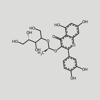 C[C@H](Oc1c(-c2ccc(O)c(O)c2)oc2cc(O)cc(O)c2c1=O)OC(CO)C(O)[C@@H](O)CO